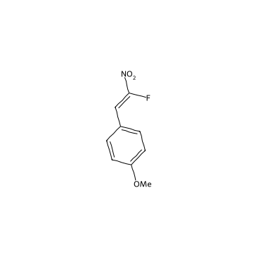 COc1ccc(C=C(F)[N+](=O)[O-])cc1